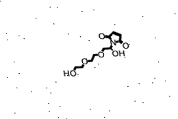 O=C1C=CC(=O)N1[C@@H](O)COCCOCCO